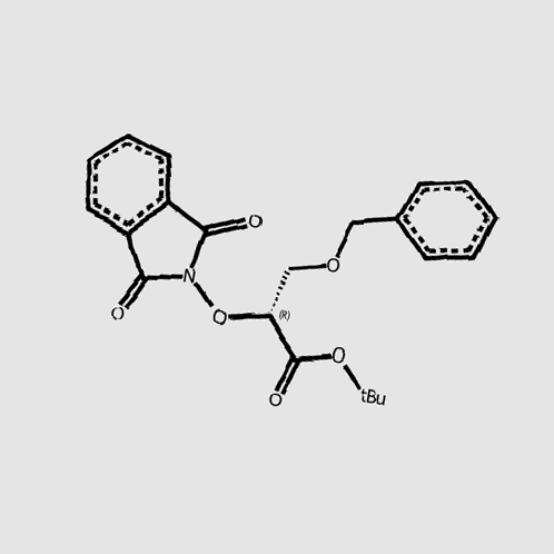 CC(C)(C)OC(=O)[C@@H](COCc1ccccc1)ON1C(=O)c2ccccc2C1=O